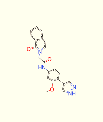 COc1cc(NC(=O)Cn2ccc3ccccc3c2=O)ccc1-c1cn[nH]c1